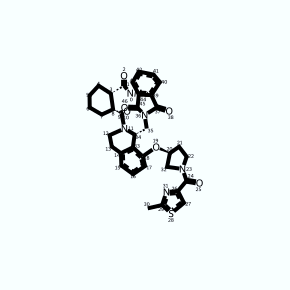 CNC(=O)[C@H]1CCCC[C@H]1C(=O)N1CCc2cccc(O[C@H]3CCN(C(=O)c4csc(C)n4)C3)c2[C@H]1CN1C(=O)c2ccccc2C1=O